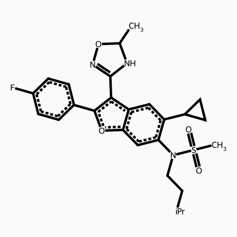 CC(C)CCN(c1cc2oc(-c3ccc(F)cc3)c(C3=NOC(C)N3)c2cc1C1CC1)S(C)(=O)=O